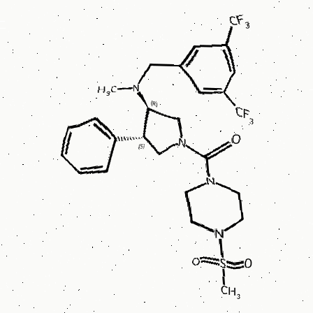 CN(Cc1cc(C(F)(F)F)cc(C(F)(F)F)c1)[C@H]1CN(C(=O)N2CCN(S(C)(=O)=O)CC2)C[C@@H]1c1ccccc1